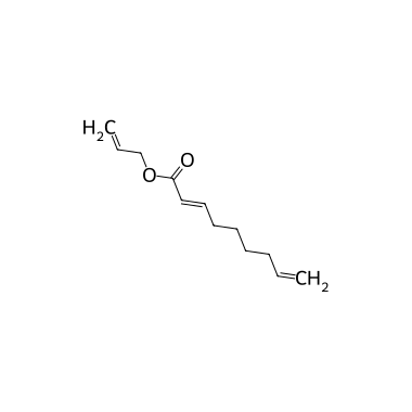 C=CCCCCC=CC(=O)OCC=C